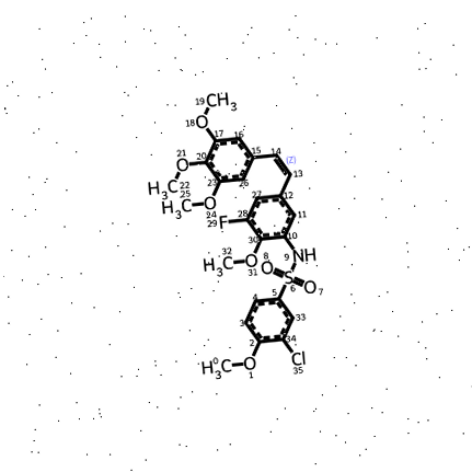 COc1ccc(S(=O)(=O)Nc2cc(/C=C\c3cc(OC)c(OC)c(OC)c3)cc(F)c2OC)cc1Cl